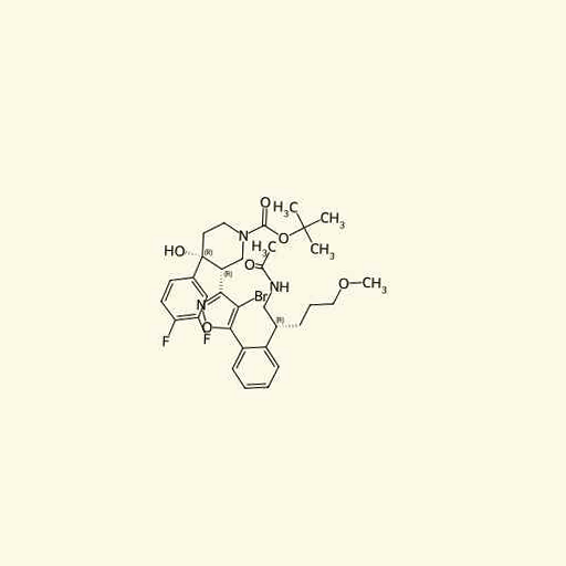 COCCC[C@@H](CNC(C)=O)c1ccccc1-c1onc([C@H]2CN(C(=O)OC(C)(C)C)CC[C@]2(O)c2ccc(F)c(F)c2)c1Br